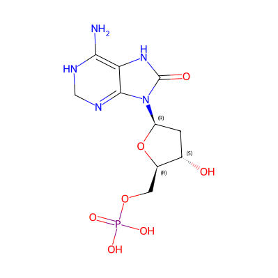 NC1=c2[nH]c(=O)n([C@H]3C[C@H](O)[C@@H](COP(=O)(O)O)O3)c2=NCN1